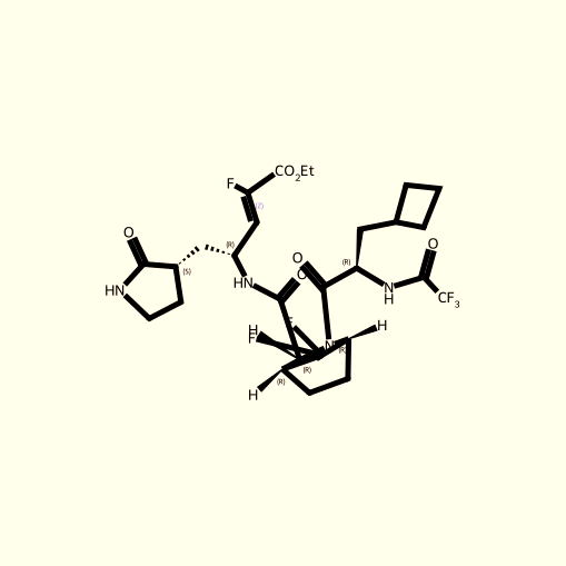 CCOC(=O)/C(F)=C/[C@@H](C[C@@H]1CCNC1=O)NC(=O)[C@H]1[C@H]2CC[C@H](CC2(F)F)N1C(=O)[C@@H](CC1CCC1)NC(=O)C(F)(F)F